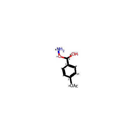 CC(=O)Oc1ccc(C(O)ON)cc1